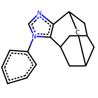 c1ccc(-n2cnc3c2C2CC4CC(CC3C4)C2)cc1